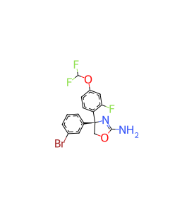 NC1=N[C@@](c2cccc(Br)c2)(c2ccc(OC(F)F)cc2F)CO1